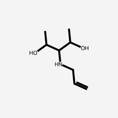 C=CCNC(C(C)O)C(C)O